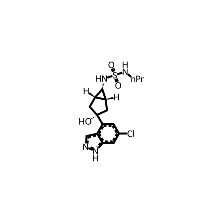 CCCNS(=O)(=O)N[C@@H]1[C@@H]2C[C@@](O)(c3cc(Cl)cc4[nH]ncc34)C[C@@H]21